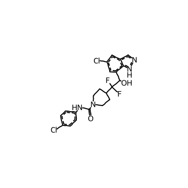 O=C(Nc1ccc(Cl)cc1)N1CCC(C(F)(F)C(O)c2cc(Cl)cc3cn[nH]c23)CC1